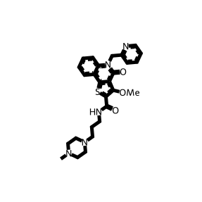 COc1c(C(=O)NCCCN2CCN(C)CC2)sc2c1c(=O)n(Cc1ccccn1)c1ccccc21